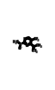 C=C(C)c1nc([S+](C)[O-])ncc1C(F)(F)F